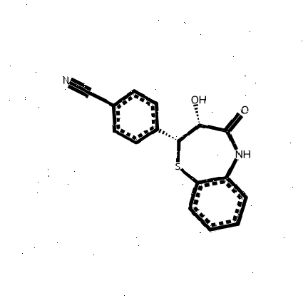 N#Cc1ccc([C@H]2Sc3ccccc3NC(=O)[C@H]2O)cc1